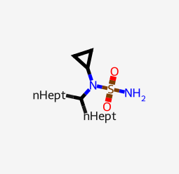 CCCCCCCC(CCCCCCC)N(C1CC1)S(N)(=O)=O